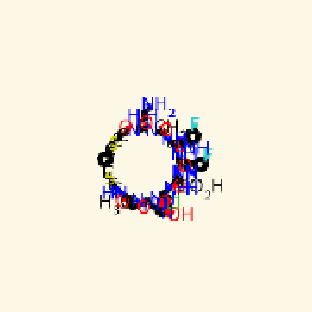 C[C@H]1NC(=O)[C@H](CCCCN)NC(=O)CCSCc2cccc(c2)CSCCNC(=O)[C@]2(C)CCCN2C(=O)[C@H](Cc2ccc(O)c(Cl)c2)NC(=O)[C@H](Cc2cnc[nH]2)NC(=O)[C@H](CC(=O)O)NC(=O)[C@H](Cc2c[nH]c3ccc(F)cc23)NC(=O)[C@H](Cc2c[nH]c3ccc(F)cc23)NC1=O